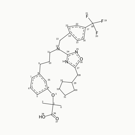 CC(C)(Oc1cccc(CCCN(Cc2ccc(C(F)(F)F)cc2)c2noc(CC3CCCC3)n2)c1)C(=O)O